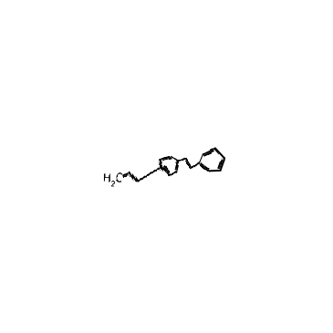 C=CCc1ccc(C=Cc2ccccc2)cc1